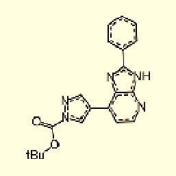 CC(C)(C)OC(=O)n1cc(-c2ccnc3[nH]c(-c4ccccc4)nc23)cn1